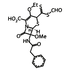 CCOC1=C(C(=O)O)N2C(=O)C(NC(=O)Cc3ccccc3)(OC)[C@@H]2SC1C(=S)SC=O